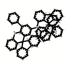 c1ccc(-c2cc(N(c3cccc4c3C(c3ccccc3)(c3ccccc3)c3ccccc3-4)c3cccc4oc5ccccc5c34)cc3c2Sc2ccccc2C32c3ccccc3-c3ccccc32)cc1